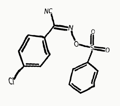 N#CC(=NOS(=O)(=O)c1ccccc1)c1ccc(Cl)cc1